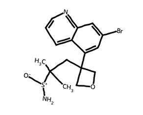 CC(C)(CC1(c2cc(Br)cc3ncccc23)COC1)[S+](N)[O-]